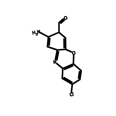 NC1=CC2=Nc3cc(Cl)ccc3OC2=CC1C=O